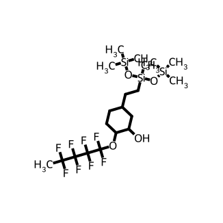 CC(F)(F)C(F)(F)C(F)(F)C(F)(F)OC1CCC(CC[Si](C)(O[Si](C)(C)C)O[Si](C)(C)C)CC1O